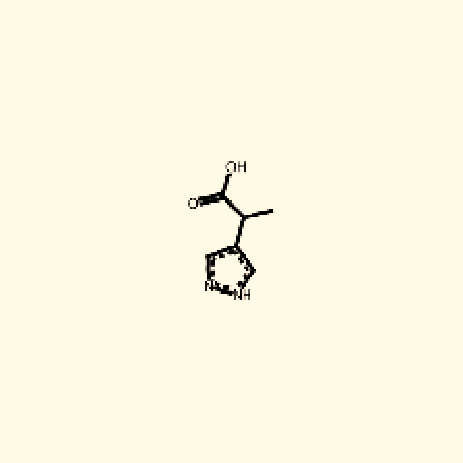 CC(C(=O)O)c1cn[nH]c1